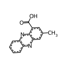 Cc1cc(C(=O)O)c2nc3ccccc3nc2c1